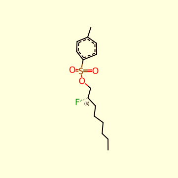 CCCCCC[C@H](F)COS(=O)(=O)c1ccc(C)cc1